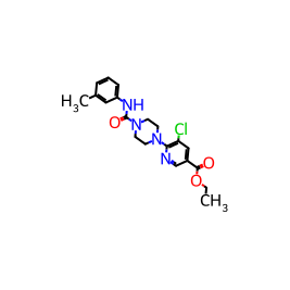 CCOC(=O)c1cnc(N2CCN(C(=O)Nc3cccc(C)c3)CC2)c(Cl)c1